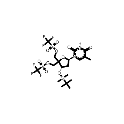 Cc1cn([C@H]2C[C@H](O[Si](C)(C)C(C)(C)C)C(COS(=O)(=O)C(F)(F)F)(COS(=O)(=O)C(F)(F)F)O2)c(=O)[nH]c1=O